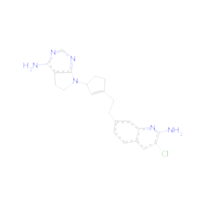 Nc1nc2cc(CCC3=CC(N4CCc5c(N)ncnc54)CC3)ccc2cc1Cl